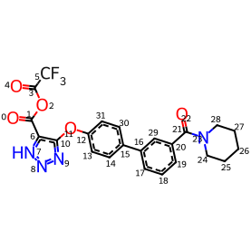 O=C(OC(=O)C(F)(F)F)c1[nH]nnc1Oc1ccc(-c2cccc(C(=O)N3CCCCC3)c2)cc1